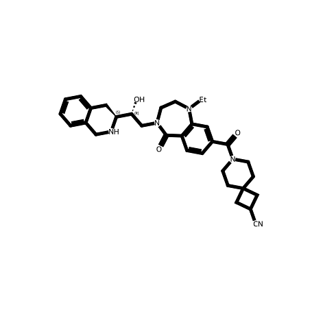 CCN1CCN(C[C@@H](O)[C@@H]2Cc3ccccc3CN2)C(=O)c2ccc(C(=O)N3CCC4(CC3)CC(C#N)C4)cc21